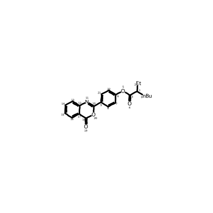 CCCCC(CC)C(=O)Oc1ccc(-c2nc3ccccc3c(=O)o2)cc1